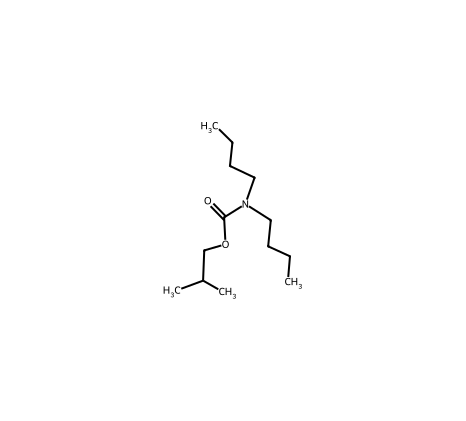 CCCCN(CCCC)C(=O)OCC(C)C